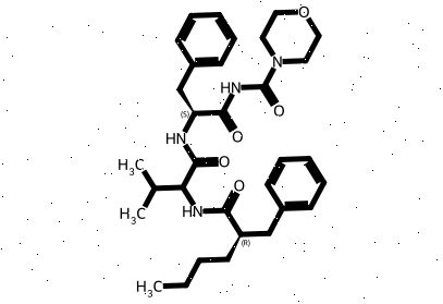 CCCC[C@H](Cc1ccccc1)C(=O)NC(C(=O)N[C@@H](Cc1ccccc1)C(=O)NC(=O)N1CCOCC1)C(C)C